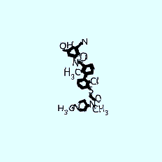 Cc1c(-c2nc3cc(CO)cc(C#N)c3o2)cccc1-c1cccc(SCC(=O)N(C)C2CCN(C)CC2)c1Cl